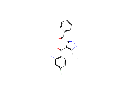 Nc1cc(Cl)ccc1C(=O)c1c(C(=O)c2ccccc2)n[nH]c1C(=O)O